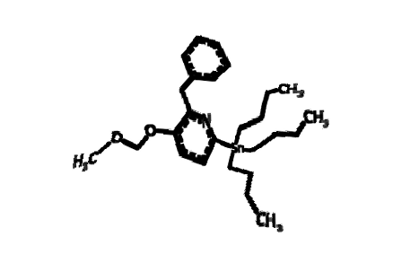 CCC[CH2][Sn]([CH2]CCC)([CH2]CCC)[c]1ccc(OCOC)c(Cc2ccccc2)n1